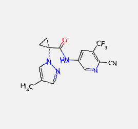 Cc1cnn(C2(C(=O)Nc3cnc(C#N)c(C(F)(F)F)c3)CC2)c1